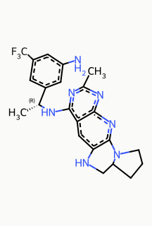 Cc1nc(N[C@H](C)c2cc(N)cc(C(F)(F)F)c2)c2cc3c(nc2n1)N1CCCC1CN3